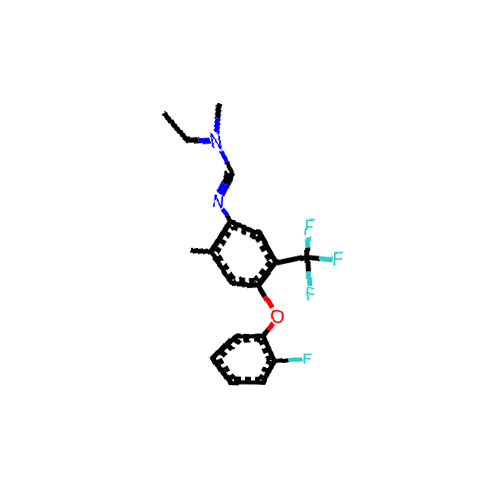 CCN(C)C=Nc1cc(C(F)(F)F)c(Oc2ccccc2F)cc1C